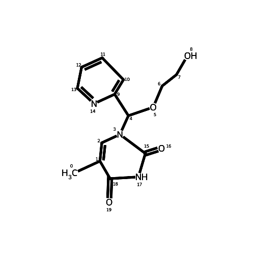 Cc1cn(C(OCCO)c2ccccn2)c(=O)[nH]c1=O